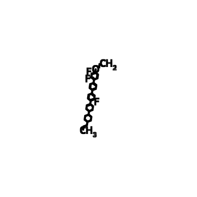 C=CCOc1ccc(-c2ccc(-c3ccc(C4=CCC(C5CCC(CCC)CC5)CC4)c(F)c3)cc2)c(F)c1F